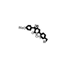 COc1ccc(-c2noc3cc(-c4ccc(CBr)cc4)n(C)c(=O)c23)cc1